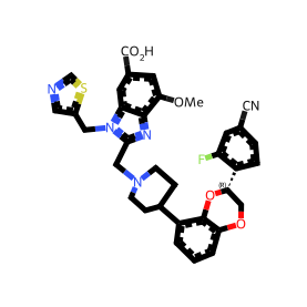 COc1cc(C(=O)O)cc2c1nc(CN1CCC(c3cccc4c3O[C@H](c3ccc(C#N)cc3F)CO4)CC1)n2Cc1cncs1